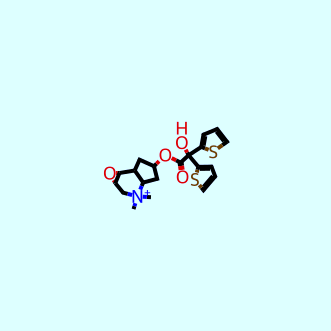 C[N+]1(C)CC2OC2C2CC(OC(=O)C(O)(c3cccs3)c3cccs3)CC21